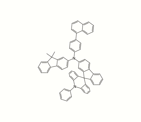 CC1(C)c2ccccc2-c2ccc(N(c3ccc(-c4cccc5ccccc45)cc3)c3ccc4c(c3)C3(c5ccccc5-4)c4ccccc4N(c4ccccc4)c4ccccc43)cc21